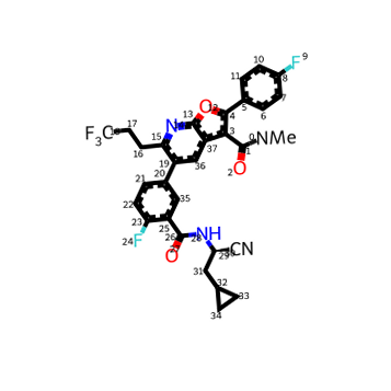 CNC(=O)c1c(-c2ccc(F)cc2)oc2nc(CCC(F)(F)F)c(-c3ccc(F)c(C(=O)N[C@@H](C#N)CC4CC4)c3)cc12